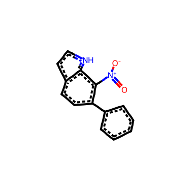 O=[N+]([O-])c1c(-c2ccccc2)ccc2cc[nH]c12